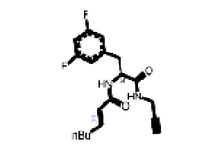 C#CCNC(=O)[C@H](Cc1cc(F)cc(F)c1)NC(=O)/C=C/CCCC